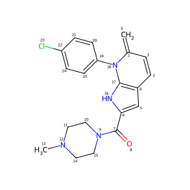 C=C1C=Cc2cc(C(=O)N3CCN(C)CC3)[nH]c2N1c1ccc(Cl)cc1